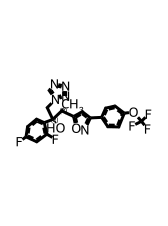 C[C@@H](c1cc(-c2ccc(OC(F)(F)F)cc2)no1)[C@](O)(Cn1cnnn1)c1ccc(F)cc1F